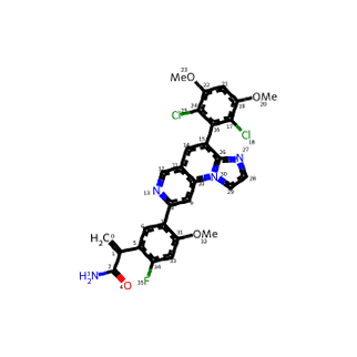 C=C(C(N)=O)c1cc(-c2cc3c(cn2)cc(-c2c(Cl)c(OC)cc(OC)c2Cl)c2nccn23)c(OC)cc1F